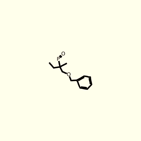 CCC(C)(COCc1ccccc1)P=O